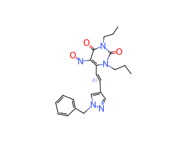 CCCn1c(/C=C/c2cnn(Cc3ccccc3)c2)c(N=O)c(=O)n(CCC)c1=O